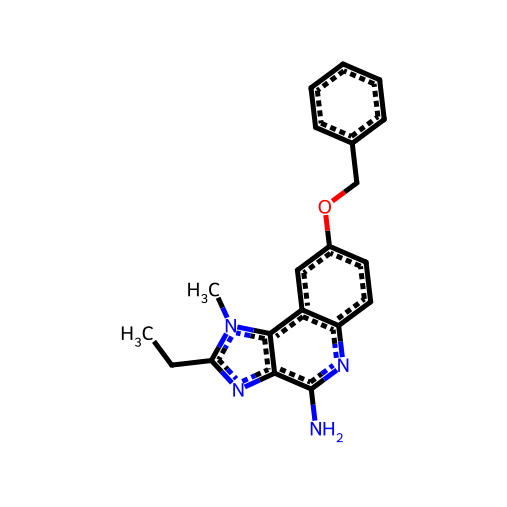 CCc1nc2c(N)nc3ccc(OCc4ccccc4)cc3c2n1C